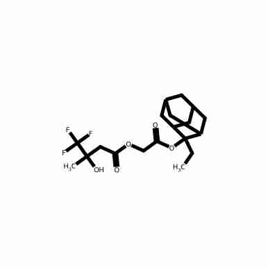 CCC1(OC(=O)COC(=O)CC(C)(O)C(F)(F)F)C2CC3CC(C2)CC1C3